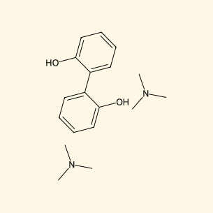 CN(C)C.CN(C)C.Oc1ccccc1-c1ccccc1O